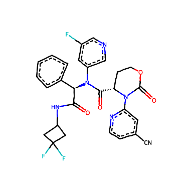 N#Cc1ccnc(N2C(=O)OCC[C@H]2C(=O)N(c2cncc(F)c2)[C@@H](C(=O)NC2CC(F)(F)C2)c2ccccc2)c1